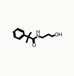 CC(C)(C(=O)NCCCO)c1cc[c]cc1